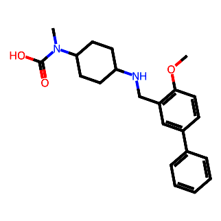 COc1ccc(-c2ccccc2)cc1CNC1CCC(N(C)C(=O)O)CC1